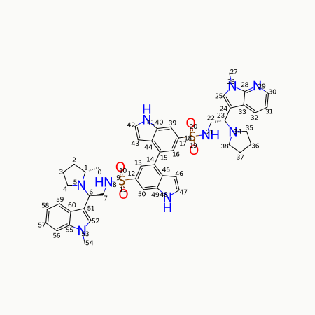 C[C@H]1CCCN1[C@@H](CNS(=O)(=O)c1cc(-c2cc(S(=O)(=O)NC[C@H](c3cn(C)c4ncccc34)N3CCCC3)cc3[nH]ccc23)c2cc[nH]c2c1)c1cn(C)c2ccccc12